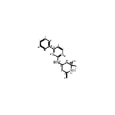 C=C1CC(Nc2nccc(-c3ccccc3)n2)CC(C)(C)N1